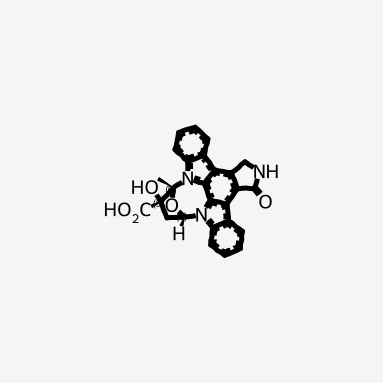 C[C@@]12O[C@@H](C[C@@]1(O)C(=O)O)n1c3ccccc3c3c4c(c5c6ccccc6n2c5c31)CNC4=O